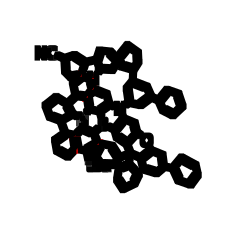 CC(C)(C)c1ccc2c(c1)B1c3cc4c(cc3N(c3cc(-c5ccccc5)cc(-c5ccccc5)c3)c3cc(-n5c6ccccc6c6cc(C#N)ccc65)cc(c31)N2c1c(-c2ccccc2)cccc1-c1ccccc1)Oc1cc(-c2ccccc2)ccc1C4(c1ccccc1)c1ccccc1